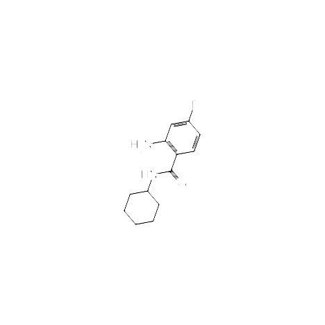 Nc1cc(F)ccc1C(=O)NC1CCCCC1